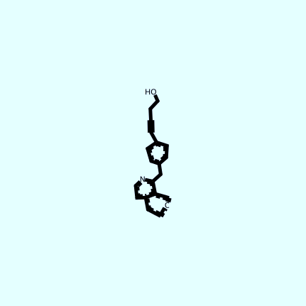 OCCC#Cc1ccc(Cc2nccc3ccccc23)cc1